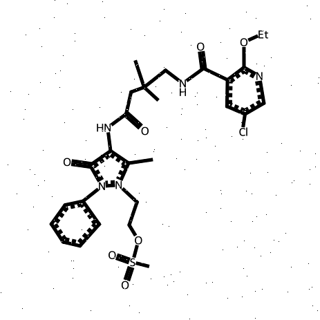 CCOc1ncc(Cl)cc1C(=O)NCC(C)(C)CC(=O)Nc1c(C)n(CCOS(C)(=O)=O)n(-c2ccccc2)c1=O